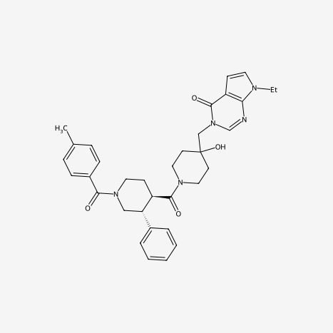 CCn1ccc2c(=O)n(CC3(O)CCN(C(=O)[C@@H]4CCN(C(=O)c5ccc(C)cc5)C[C@H]4c4ccccc4)CC3)cnc21